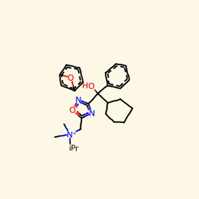 CC(C)[N+](C)(C)Cc1nc(C(O)(c2ccccc2)C2CCCCC2)no1.c1cc2cc(c1)O2